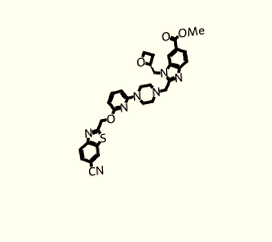 COC(=O)c1ccc2nc(CN3CCN(c4cccc(OCc5nc6ccc(C#N)cc6s5)n4)CC3)n(C[C@@H]3CCO3)c2c1